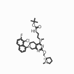 CN(CCNC(=O)OC(C)(C)C)c1nc(OC[C@@H]2CCCN2C)nc2c1CCN(c1cccc3ccc(F)c(Cl)c13)C2